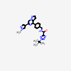 Cn1cc(-c2cn3nccc3c(-c3ccc(CNC(=O)c4nnn(C(C)(C)C)n4)cc3)n2)cn1